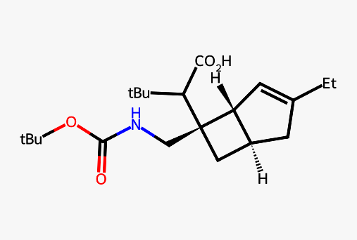 CCC1=C[C@@H]2[C@@H](C1)C[C@]2(CNC(=O)OC(C)(C)C)C(C(=O)O)C(C)(C)C